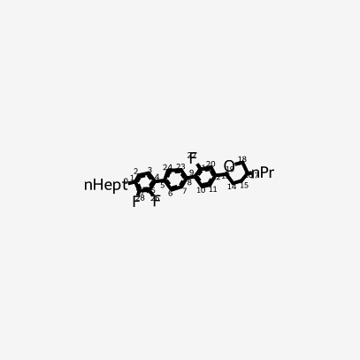 CCCCCCCc1ccc(-c2ccc(-c3ccc(C4CCC(CCC)CO4)cc3F)cc2)c(F)c1F